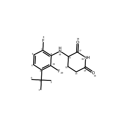 CC(C)(C)c1ccc(F)c(NC2CCC(=O)NC2=O)c1F